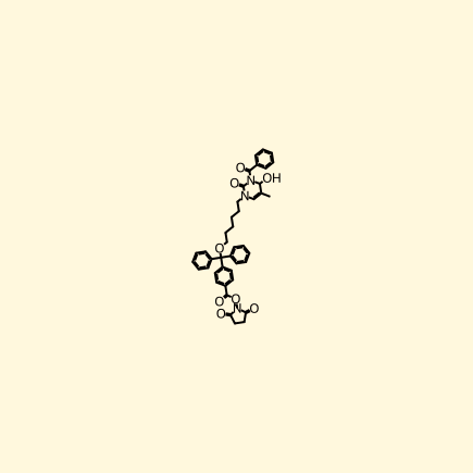 CC1=CN(CCCCCCOC(c2ccccc2)(c2ccccc2)c2ccc(C(=O)ON3C(=O)CCC3=O)cc2)C(=O)N(C(=O)c2ccccc2)C1O